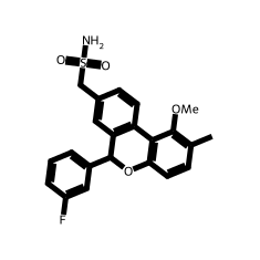 COc1c(C)ccc2c1-c1ccc(CS(N)(=O)=O)cc1C(c1cccc(F)c1)O2